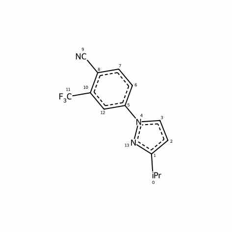 CC(C)c1ccn(-c2ccc(C#N)c(C(F)(F)F)c2)n1